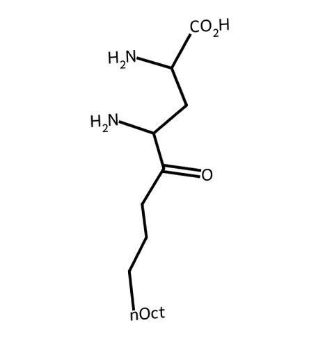 CCCCCCCCCCCC(=O)C(N)CC(N)C(=O)O